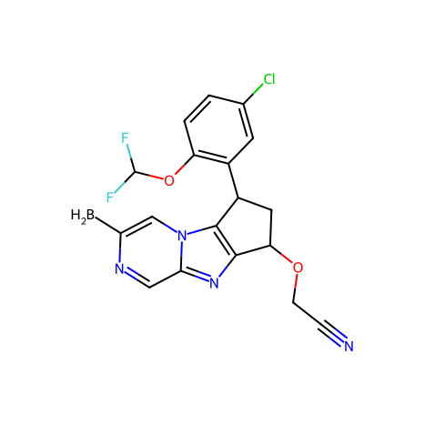 Bc1cn2c3c(nc2cn1)C(OCC#N)CC3c1cc(Cl)ccc1OC(F)F